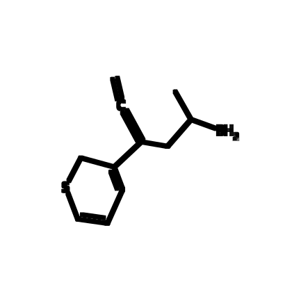 BC(C)CC(=C=C)C1=CC=CSC1